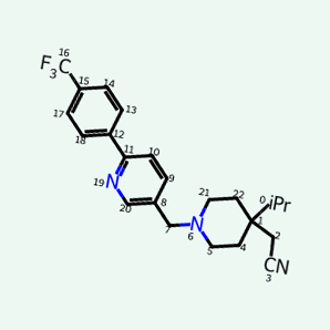 CC(C)C1(CC#N)CCN(Cc2ccc(-c3ccc(C(F)(F)F)cc3)nc2)CC1